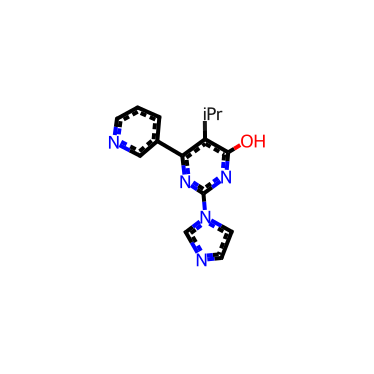 CC(C)c1c(O)nc(-n2ccnc2)nc1-c1cccnc1